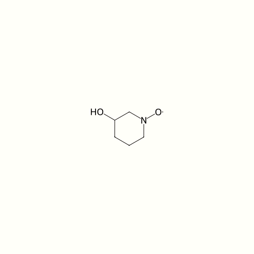 [O]N1CCCC(O)C1